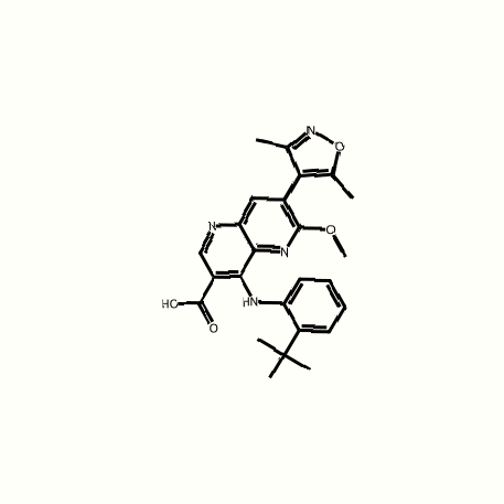 COc1nc2c(Nc3ccccc3C(C)(C)C)c(C(=O)O)cnc2cc1-c1c(C)noc1C